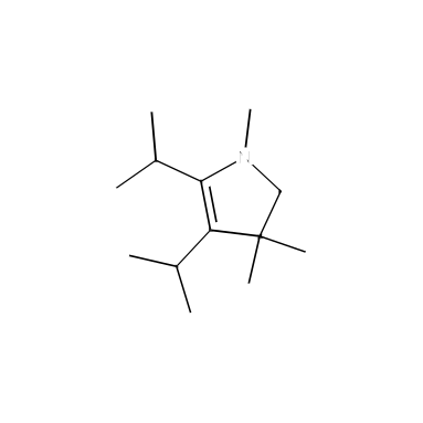 CC(C)C1=C(C(C)C)C(C)(C)CN1C